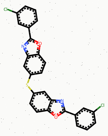 Clc1cccc(-c2nc3cc(Sc4ccc5oc(-c6cccc(Cl)c6)nc5c4)ccc3o2)c1